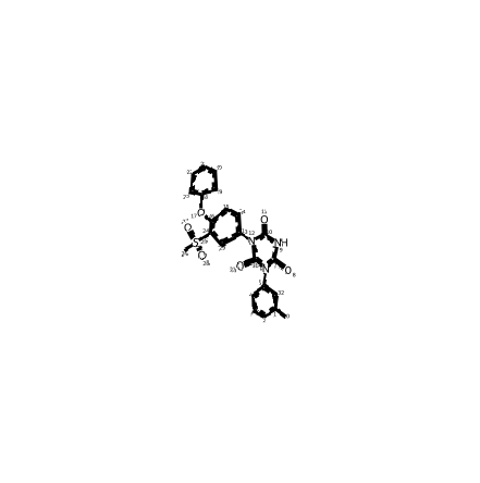 Cc1cccc(-n2c(=O)[nH]c(=O)n(-c3ccc(Oc4ccccc4)c(S(C)(=O)=O)c3)c2=O)c1